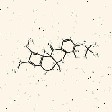 COc1cc2c(cc1OC)[C@@H]1C(=O)c3ccc4c(c3O[C@@H]1CO2)CCC(C)(C)O4